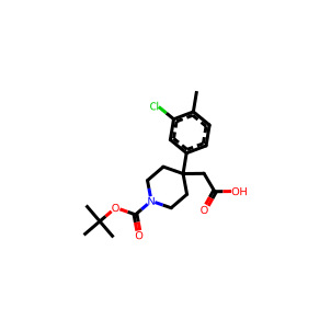 Cc1ccc(C2(CC(=O)O)CCN(C(=O)OC(C)(C)C)CC2)cc1Cl